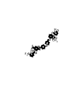 Cn1c(=O)n(C2CCC(=O)NC2=O)c2cccc(OCC3CCN(C[C@H]4CC[C@H](n5cc6cc(NC(=O)c7cccc(C(F)(F)F)n7)c(C(F)F)cc6n5)CC4)CC3)c21